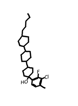 CCCCCC1CCC(C2CCC(C3CCC(O)(c4ccc(C)c(Cl)c4F)CC3)CC2)CC1